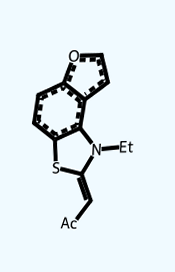 CCN1C(=CC(C)=O)Sc2ccc3occc3c21